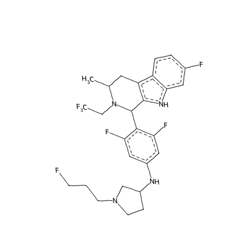 CC1Cc2c([nH]c3cc(F)ccc23)C(c2c(F)cc(NC3CCN(CCCF)C3)cc2F)N1CC(F)(F)F